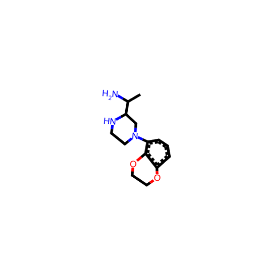 CC(N)C1CN(c2cccc3c2OCCO3)CCN1